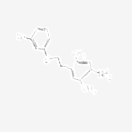 Cc1cc(CCOc2cccc(Br)c2)c(C)cc1N